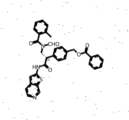 Cc1ccccc1C(=O)N(C=O)C[C@@H](C(=O)Nc1cc2ccncc2s1)c1ccc(COC(=O)c2ccccc2)cc1